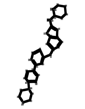 c1cc(Oc2ccc3nc(NC4CCCCP4)sc3c2)cc(-c2ccc(N3CCOCC3)nc2)n1